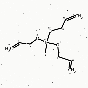 C=CC[O][Ti]([I])([O]CC=C)[O]CC=C